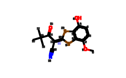 COc1ccc(O)c2c1S/C(=C(\C#N)C(=O)C(C)(C)C)S2